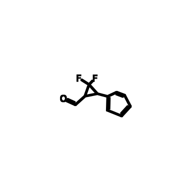 O=CC1C(c2ccccc2)C1(F)F